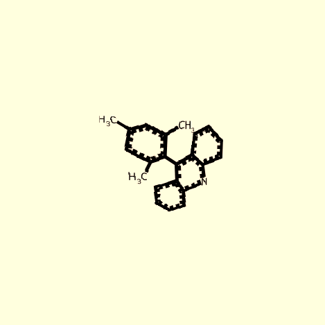 Cc1cc(C)c(-c2c3ccccc3nc3ccccc23)c(C)c1